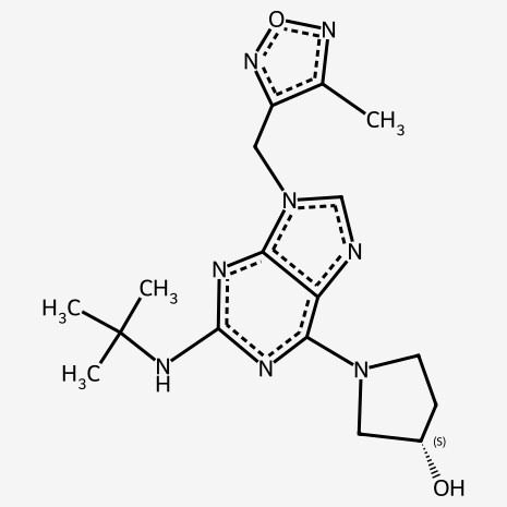 Cc1nonc1Cn1cnc2c(N3CC[C@H](O)C3)nc(NC(C)(C)C)nc21